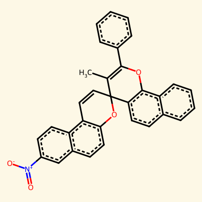 CC1=C(c2ccccc2)Oc2c(ccc3ccccc23)C12C=Cc1c(ccc3cc([N+](=O)[O-])ccc13)O2